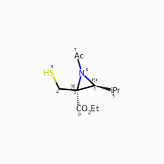 CCOC(=O)[C@@]1(CS)[C@H](C(C)C)N1C(C)=O